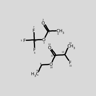 CC(=O)OC(F)(F)F.CCOC(=O)C(C)F